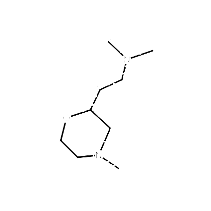 CN(C)CCC1CN(C)CCO1